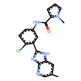 Cc1cnc2nc(-c3cc(NC(=O)c4cccn4C)ccc3Cl)[nH]c2c1